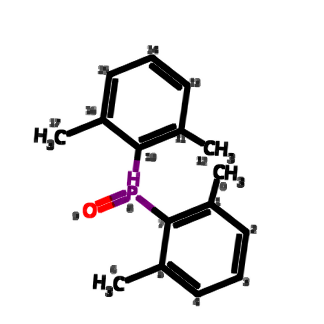 Cc1cccc(C)c1[PH](=O)c1c(C)cccc1C